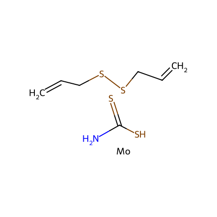 C=CCSSCC=C.NC(=S)S.[Mo]